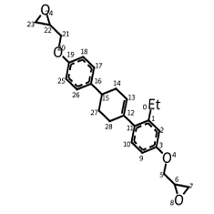 CCc1cc(OCC2CO2)ccc1C1=CCC(c2ccc(OCC3CO3)cc2)CC1